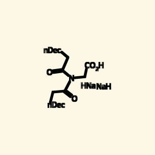 CCCCCCCCCCCC(=O)N(CC(=O)O)C(=O)CCCCCCCCCCC.[NaH].[NaH]